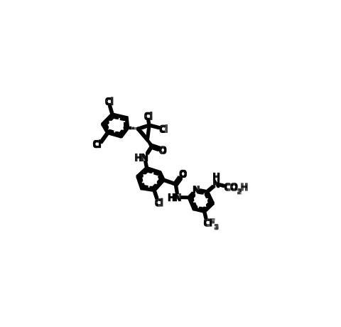 O=C(O)Nc1cc(C(F)(F)F)cc(NC(=O)c2cc(NC(=O)[C@H]3[C@H](c4cc(Cl)cc(Cl)c4)C3(Cl)Cl)ccc2Cl)n1